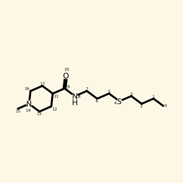 CCCCSCCCNC(=O)C1CCN(C)CC1